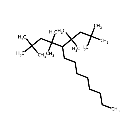 CCCCCCCC[C](C(C)(C)CC(C)(C)C)C(C)(C)CC(C)(C)C